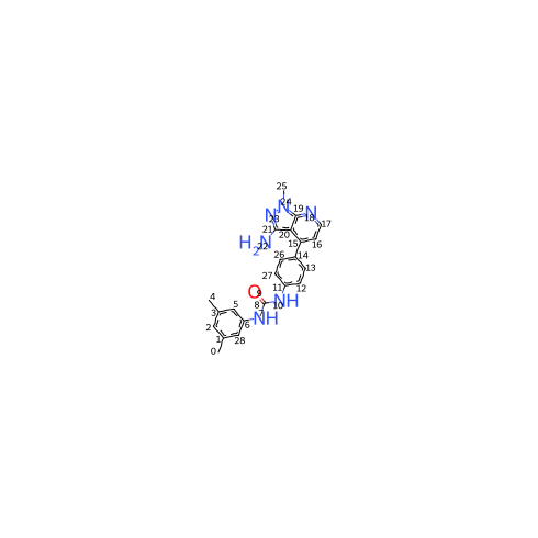 Cc1cc(C)cc(NC(=O)Nc2ccc(-c3ccnc4c3c(N)nn4C)cc2)c1